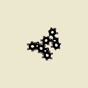 c1ccc(-c2nc3ccccc3n2-c2cccc(-c3c4oc5ccccc5c4cc4c3oc3ccccc34)c2)cc1